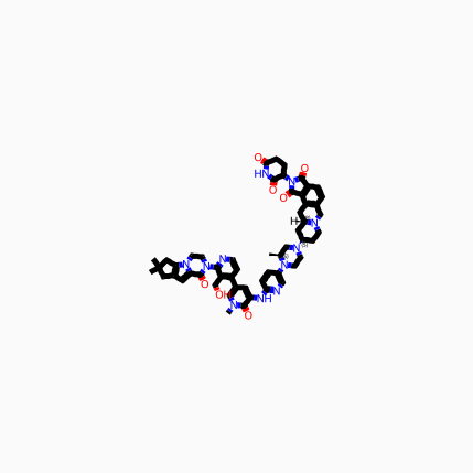 C[C@H]1CN([C@H]2CCN3Cc4ccc5c(c4C[C@@H]3C2)C(=O)N(C2CCC(=O)NC2=O)C5=O)CCN1c1ccc(Nc2cc(-c3ccnc(N4CCn5c(cc6c5CC(C)(C)C6)C4=O)c3CO)cn(C)c2=O)nc1